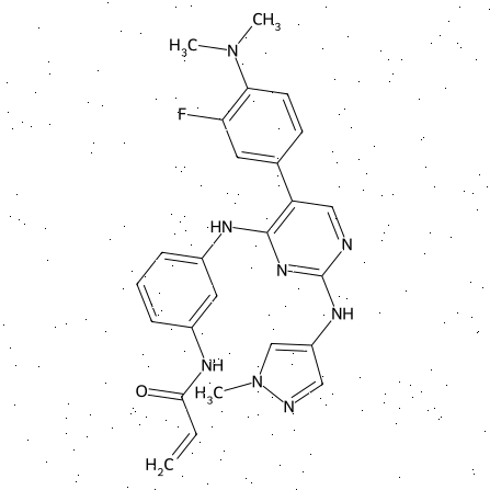 C=CC(=O)Nc1cccc(Nc2nc(Nc3cnn(C)c3)ncc2-c2ccc(N(C)C)c(F)c2)c1